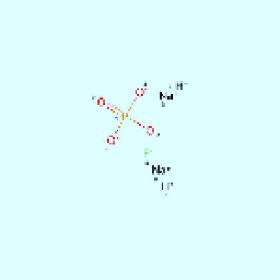 O=P([O-])([O-])[O-].[F-].[H+].[H+].[Na+].[Na+]